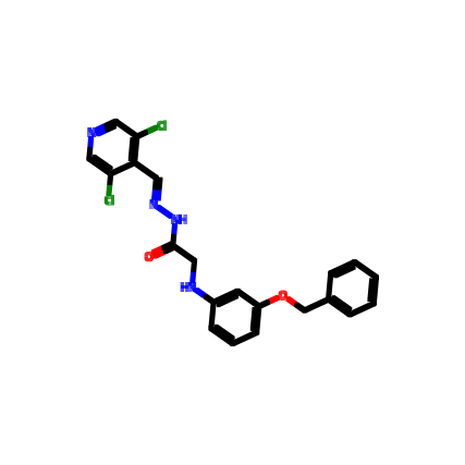 O=C(CNc1cccc(OCc2ccccc2)c1)N/N=C/c1c(Cl)cncc1Cl